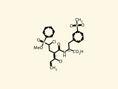 C=C/C(Cl)=C(\CC(Cl)P(=O)(OC)c1ccccc1)C(=O)N[C@@H](Cc1cccc(S(C)(=O)=O)c1)C(=O)O